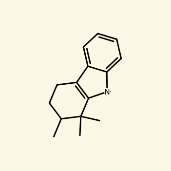 CC1CCC2=C([N]c3ccccc32)C1(C)C